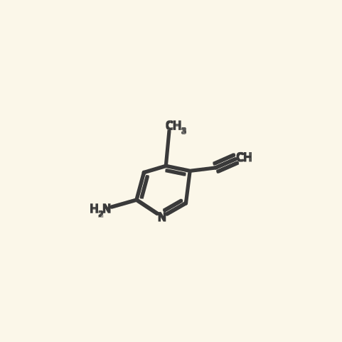 C#Cc1cnc(N)cc1C